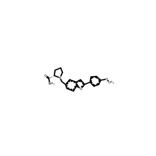 COc1ccc(-c2cc3cc(CN4CCC[C@H]4C(N)=O)ccc3o2)cc1